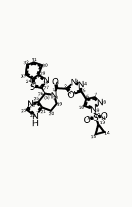 O=C(c1nnc(-c2cnn(S(=O)(=O)C3CC3)c2)o1)N1CCc2[nH]cnc2[C@H]1c1nc2ccccc2s1